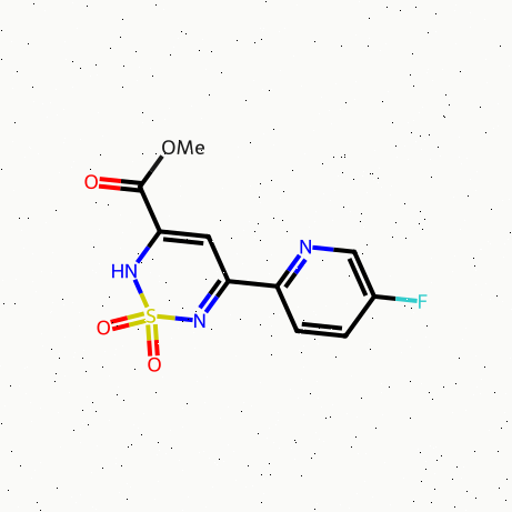 COC(=O)C1=CC(c2ccc(F)cn2)=NS(=O)(=O)N1